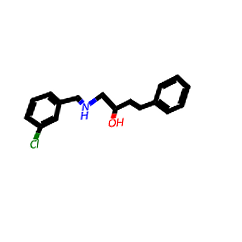 OC([CH]Cc1ccccc1)CNCc1cccc(Cl)c1